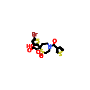 O=C(O)C[C@]1(c2ccc(Br)s2)CCN(C(=O)c2ccsc2)CCS1(=O)=O